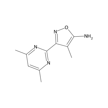 Cc1cc(C)nc(-c2noc(N)c2C)n1